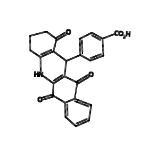 O=C1CCCC2=C1C(c1ccc(C(=O)O)cc1)C1=C(N2)C(=O)c2ccccc2C1=O